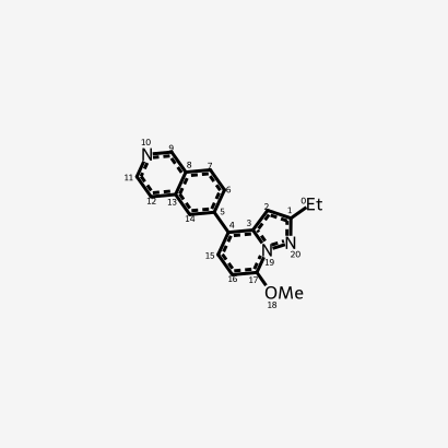 CCc1cc2c(-c3ccc4cnccc4c3)ccc(OC)n2n1